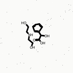 O=C(O)C(O)c1ccccc1.OCCNCCO